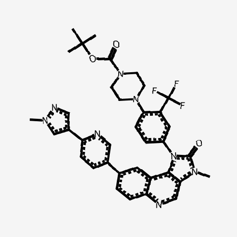 Cn1cc(-c2ccc(-c3ccc4ncc5c(c4c3)n(-c3ccc(N4CCN(C(=O)OC(C)(C)C)CC4)c(C(F)(F)F)c3)c(=O)n5C)cn2)cn1